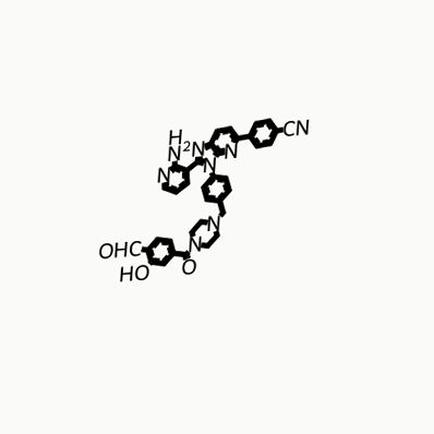 N#Cc1ccc(-c2ccc3nc(-c4cccnc4N)n(-c4ccc(CN5CCN(C(=O)c6ccc(C=O)c(O)c6)CC5)cc4)c3n2)cc1